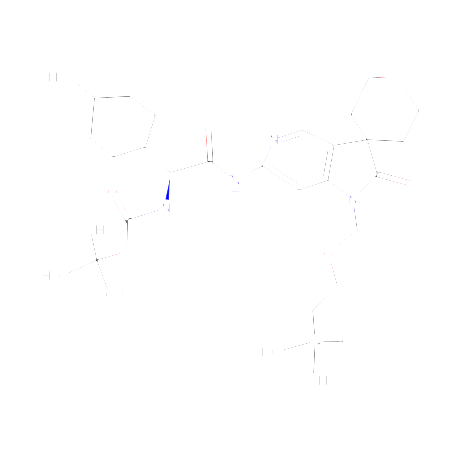 CC1CCC([C@H](NC(=O)OC(C)(C)C)C(=O)Nc2cc3c(cn2)C2(CCOCC2)C(=O)N3COCC[Si](C)(C)C)CC1